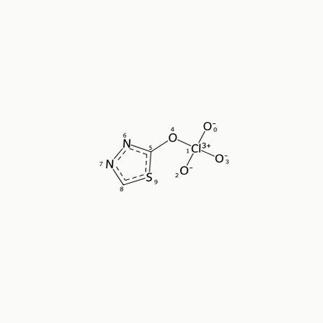 [O-][Cl+3]([O-])([O-])Oc1nncs1